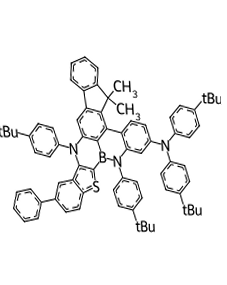 CC(C)(C)c1ccc(N2B3c4sc5ccc(-c6ccccc6)cc5c4N(c4ccc(C(C)(C)C)cc4)c4cc5c(c(c43)-c3ccc(N(c4ccc(C(C)(C)C)cc4)c4ccc(C(C)(C)C)cc4)cc32)C(C)(C)c2ccccc2-5)cc1